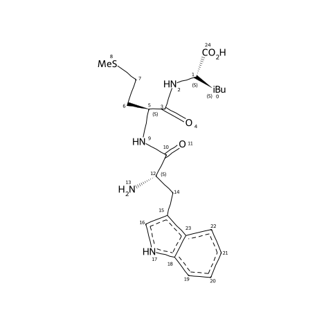 CC[C@H](C)[C@H](NC(=O)[C@H](CCSC)NC(=O)[C@@H](N)Cc1c[nH]c2ccccc12)C(=O)O